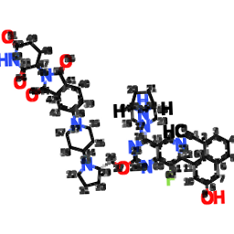 C#Cc1cccc2cc(O)cc(-c3ncc4c(N5C[C@H]6CC[C@@H](C5)N6)nc(OC[C@@H]5CCCN5C5CCN(c6ccc7c(c6)C(=O)N(C6CCC(=O)NC6=O)C7=O)CC5)nc4c3F)c12